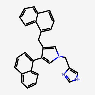 c1ccc2c(Cc3cn(Cc4c[nH]cn4)cc3-c3cccc4ccccc34)cccc2c1